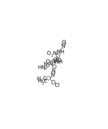 CC1(C)CCC(CN2CCN(c3ccc(C(=O)NS(=O)(=O)c4ccc(NCCCN5CCOCC5)c([N+](=O)[O-])c4)c(N4CCOc5nc6[nH]ccc6cc54)c3)CC2)=C(c2ccc(Cl)cc2)C1